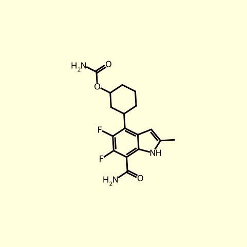 Cc1cc2c(C3CCCC(OC(N)=O)C3)c(F)c(F)c(C(N)=O)c2[nH]1